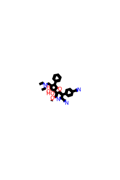 CCN(CC)CC1C(c2ccccc2)C2Oc3c(-c4ccc(C#N)cc4)c(C#N)nc(OC)c3C2(O)C1O